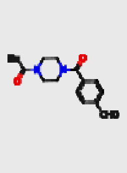 CCC(C)C(=O)N1CCN(C(=O)c2ccc(C=O)cc2)CC1